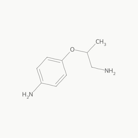 CC(CN)Oc1ccc(N)cc1